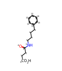 O=C(O)CCC(=O)NCCCCc1ccccc1